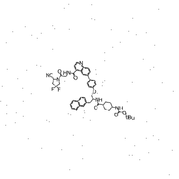 CC(C)(C)OC(=O)NC1CCC(C(=O)N[C@H](COc2ccc(-c3ccc4nccc(C(=O)NCC(=O)N5CC(F)(F)C[C@H]5C#N)c4c3)cc2)Cc2ccc3ccccc3c2)CC1